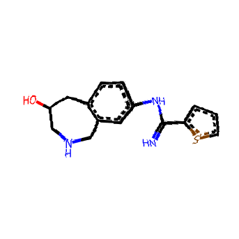 N=C(Nc1ccc2c(c1)CNCC(O)C2)c1cccs1